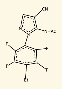 CCc1c(F)c(F)c(-n2ncc(C#N)c2NC(C)=O)c(F)c1F